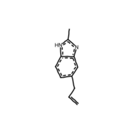 C=CCc1ccc2[nH]c(C)nc2c1